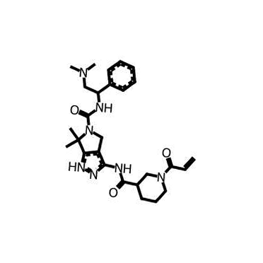 C=CC(=O)N1CCCC(C(=O)Nc2n[nH]c3c2CN(C(=O)NC(CN(C)C)c2ccccc2)C3(C)C)C1